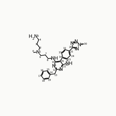 CN(CCCN)CCCNc1nc(Cc2ccccc2)nc2[nH]c3cc(-c4nnn(C)n4)ccc3c12